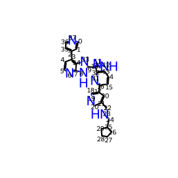 c1cc(-c2ccnc3[nH]c(-c4n[nH]c5ccc(-c6cncc(CNCC7CCCC7)c6)nc45)nc23)ccn1